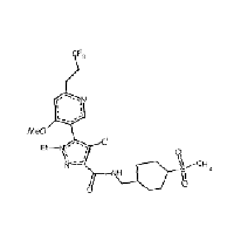 CCn1nc(C(=O)NCC2CCC(S(C)(=O)=O)CC2)c(Cl)c1-c1cnc(CCC(F)(F)F)cc1OC